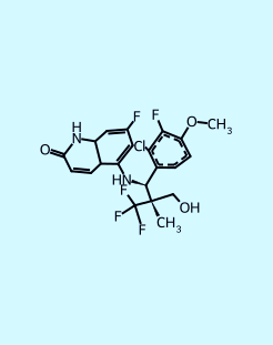 COc1ccc([C@H](NC2=CC(F)=CC3NC(=O)C=CC23)[C@](C)(CO)C(F)(F)F)c(Cl)c1F